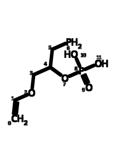 C=COCC(CP)OP(=O)(O)O